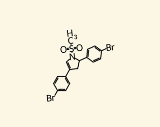 CS(=O)(=O)N1C=C(c2ccc(Br)cc2)CC1c1ccc(Br)cc1